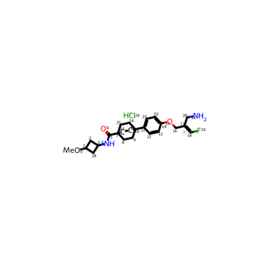 COC1CC(NC(=O)C23CCC(c4ccc(OC/C(=C/F)CN)cc4)(CC2)CC3)C1.Cl